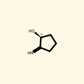 N=C1CCC[C@@H]1O